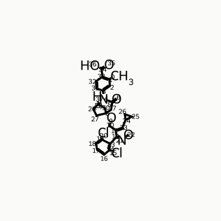 Cc1cc(N2C(=O)CC3(OCc4c(-c5c(Cl)cccc5Cl)noc4C4CC4)CC[C@H]2C3)ccc1C(=O)O